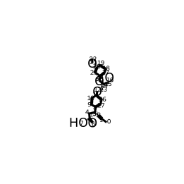 CC#C[C@@H](CC(=O)O)c1ccc(OC[C@H]2COc3ccc(OC)cc3O2)cc1